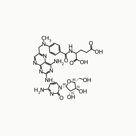 CN(Cc1cnc2nc(N)nc(N)c2n1)c1ccc(C(=O)NC(CCC(=O)O)C(=O)O)cc1.Nc1ccn([C@@H]2O[C@H](CO)[C@@H](O)[C@@H]2O)c(=O)n1